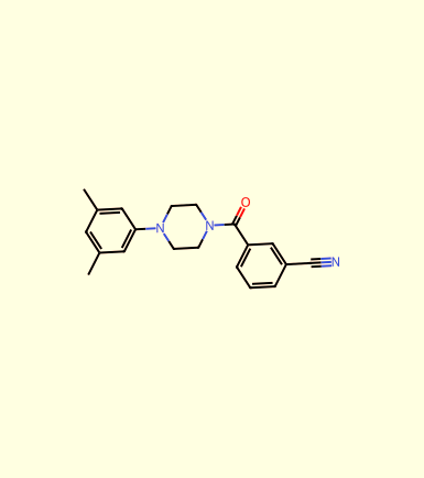 Cc1cc(C)cc(N2CCN(C(=O)c3cccc(C#N)c3)CC2)c1